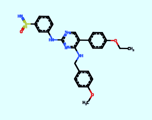 CCOc1ccc(-c2cnc(Nc3cccc([SH](=N)=O)c3)nc2NCc2ccc(OC)cc2)cc1